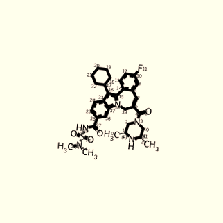 C[C@@H]1CN(C(=O)C2=Cc3cc(F)ccc3-c3c(C4CCCCC4)c4ccc(C(=O)NS(=O)(=O)N(C)C)cc4n3C2)C[C@H](C)N1